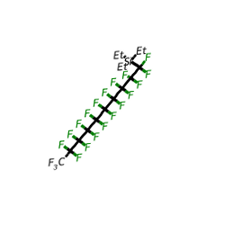 CC[Si](CC)(CC)C(F)(F)C(F)(F)C(F)(F)C(F)(F)C(F)(F)C(F)(F)C(F)(F)C(F)(F)C(F)(F)C(F)(F)F